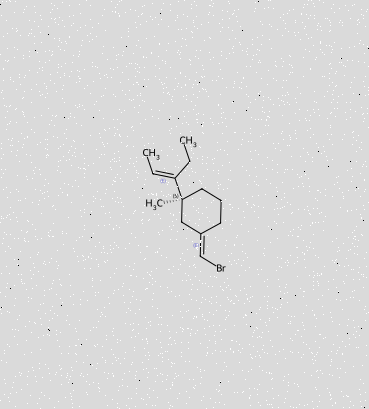 C/C=C(\CC)[C@@]1(C)CCC/C(=C\Br)C1